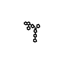 c1ccc(-c2ccc(-c3ccc(N(c4ccccc4)c4ccc(-c5ccc6ccccc6c5-c5ccccc5)cc4)cc3)cc2)cc1